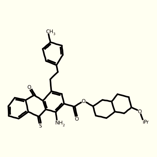 Cc1ccc(CCc2cc(C(=O)OC3CCC4CC(OC(C)C)CCC4C3)c(N)c3c2C(=O)c2ccccc2C3=S)cc1